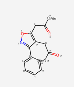 COC(=O)Cc1onc(-c2ccccc2)c1CC(=O)OC